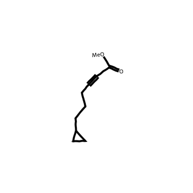 COC(=O)C#CCCCC1[CH]C1